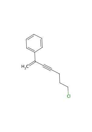 C=C(C#CCCCCl)c1ccccc1